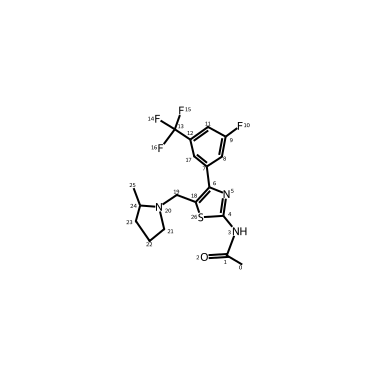 CC(=O)Nc1nc(-c2cc(F)cc(C(F)(F)F)c2)c(CN2CCCC2C)s1